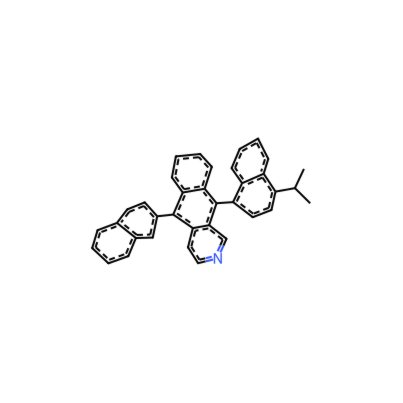 CC(C)c1ccc(-c2c3ccccc3c(-c3ccc4ccccc4c3)c3ccncc23)c2ccccc12